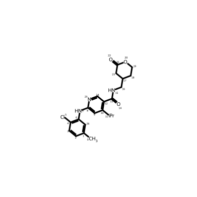 Cc1ccc(Cl)c(Nc2cc(C(C)C)c(C(=O)NCC3CCOC(=O)C3)cn2)c1